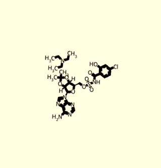 CC1(C)O[C@@H]2[C@H](O1)[C@@H](COS(=O)(=O)NC(=O)c1ccc(Cl)cc1O)O[C@H]2n1cnc2c(N)ncnc21.CCN(CC)CC